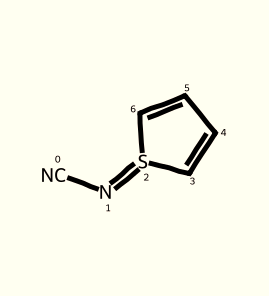 N#CN=S1C=CC=C1